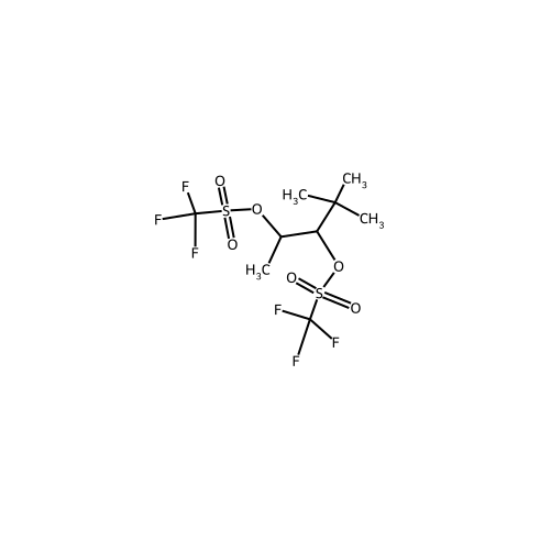 CC(OS(=O)(=O)C(F)(F)F)C(OS(=O)(=O)C(F)(F)F)C(C)(C)C